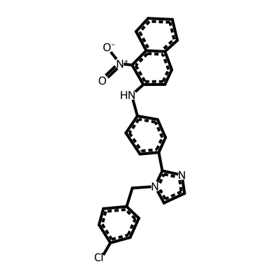 O=[N+]([O-])c1c(Nc2ccc(-c3nccn3Cc3ccc(Cl)cc3)cc2)ccc2ccccc12